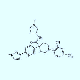 CN1CC[C@@H](NC(=O)C2(c3ccc(-c4ccn(C)c4)nc3)CCN(c3ccc(C(F)(F)F)cc3C#N)CC2)C1